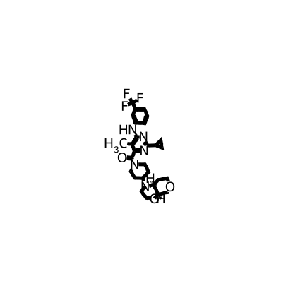 Cc1c(Nc2cccc(C(F)(F)F)c2)nc(C2CC2)nc1C(=O)N1CCC(N2CCO[C@H]3COCC[C@H]32)CC1